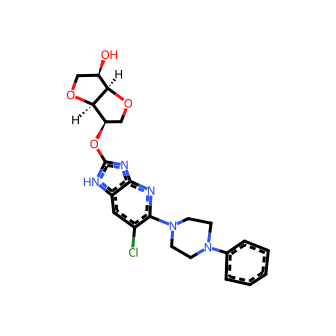 O[C@@H]1CO[C@H]2[C@@H]1OC[C@H]2Oc1nc2nc(N3CCN(c4ccccc4)CC3)c(Cl)cc2[nH]1